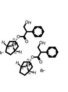 CC(C)[N+]1(C)[C@@H]2CC[C@H]1C[C@@H](OC(=O)C(CO)c1ccccc1)C2.CC(C)[N+]1(C)[C@@H]2CC[C@H]1C[C@@H](OC(=O)C(CO)c1ccccc1)C2.[Br-].[Br-]